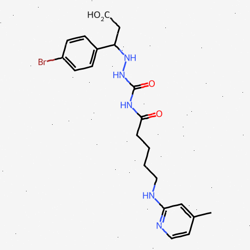 Cc1ccnc(NCCCCC(=O)NC(=O)NNC(CC(=O)O)c2ccc(Br)cc2)c1